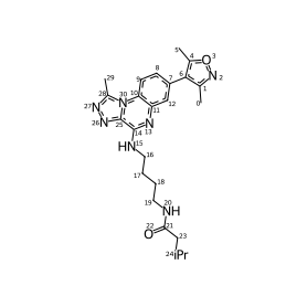 Cc1noc(C)c1-c1ccc2c(c1)nc(NCCCCNC(=O)CC(C)C)c1nnc(C)n12